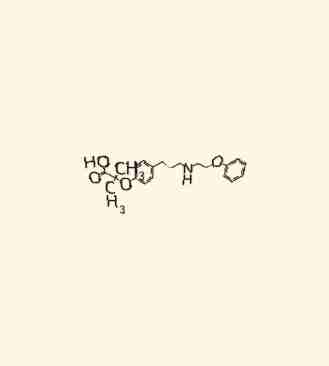 CC(C)(Oc1ccc(CCCNCCOc2ccccc2)cc1)C(=O)O